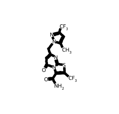 Cc1cc(C(F)(F)F)nn1Cc1cc(=O)n2c(C(N)=O)c(C(F)(F)F)sc2n1